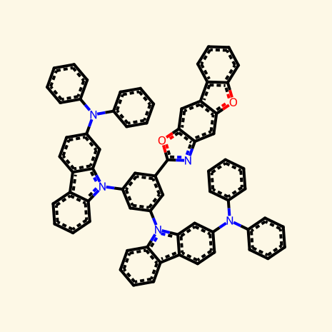 c1ccc(N(c2ccccc2)c2ccc3c4ccccc4n(-c4cc(-c5nc6cc7oc8ccccc8c7cc6o5)cc(-n5c6ccccc6c6ccc(N(c7ccccc7)c7ccccc7)cc65)c4)c3c2)cc1